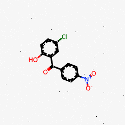 O=C(c1ccc([N+](=O)[O-])cc1)c1cc(Cl)ccc1O